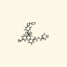 Cl.O=S(=O)(c1ccc(Cl)cc1)N(Cc1ccccc1OCCCN1CCCCC1)c1ccc(Br)cc1